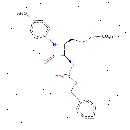 COc1ccc(N2C(=O)[C@H](NC(=O)OCc3ccccc3)[C@@H]2COCC(=O)O)cc1